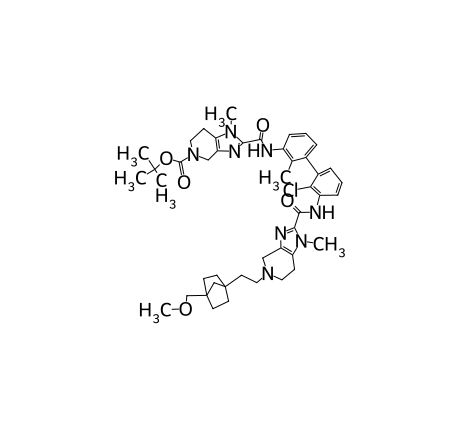 COCC12CCC(CCN3CCc4c(nc(C(=O)Nc5cccc(-c6cccc(NC(=O)c7nc8c(n7C)CCN(C(=O)OC(C)(C)C)C8)c6C)c5Cl)n4C)C3)(CC1)C2